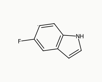 Fc1[c]cc2[nH]ccc2c1